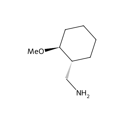 CO[C@H]1CCCC[C@@H]1CN